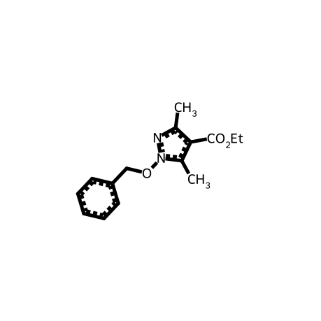 CCOC(=O)c1c(C)nn(OCc2ccccc2)c1C